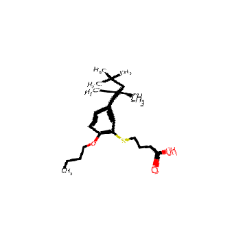 CCCCOc1ccc(C(C)(C)CC(C)(C)C)cc1SCCCC(=O)O